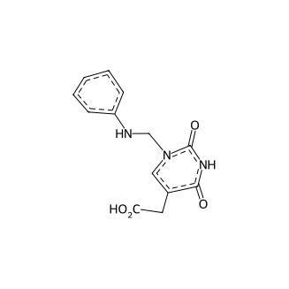 O=C(O)Cc1cn(CNc2ccccc2)c(=O)[nH]c1=O